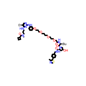 CCc1cnc(Nc2cccc(OCCCOCCCCOCCCOCC(=O)NC(C(=O)N3C[C@H](O)C[C@H]3C(=O)NCc3ccc(-c4scnc4C)cc3)C(C)(C)C)c2)nc1NCCCN(C)C(=O)C1CCC1